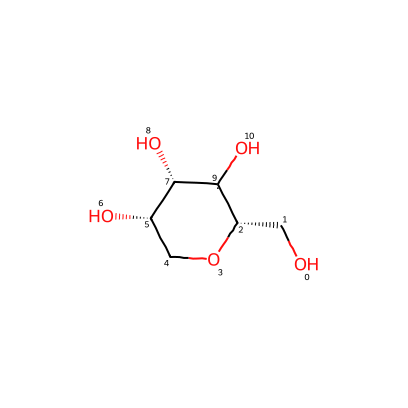 OC[C@@H]1OC[C@H](O)[C@H](O)[C]1O